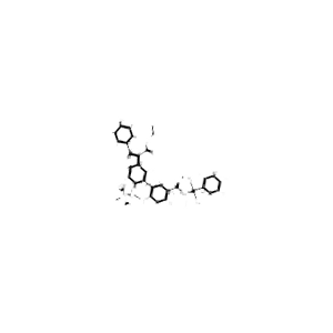 CCOC(=O)c1c(-c2ccc(F)cc2)oc2cc(N(C)S(C)(=O)=O)c(-c3cccc(C(=O)NC(C)(C)c4ccccc4)c3)cc12